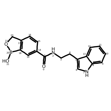 O=C(NCCc1c[nH]c2ccccc12)c1ccc2c(c1)B(O)OC2